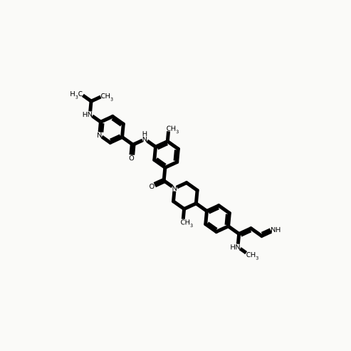 CN/C(=C\C=N)c1ccc(C2CCN(C(=O)c3ccc(C)c(NC(=O)c4ccc(NC(C)C)nc4)c3)CC2C)cc1